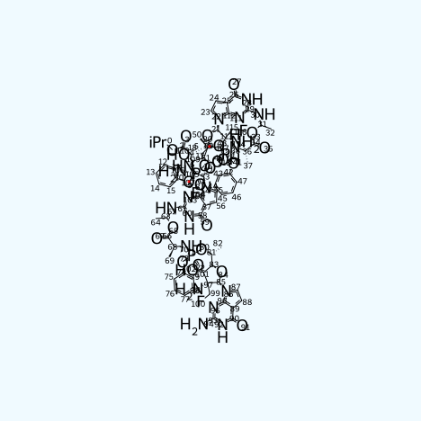 CC(C)OC(=O)[C@H](C)NP(=O)(Oc1ccccc1)O[C@H](C)[C@H]1O[C@@H](n2ccc3c(=O)[nH]c(NC(C)OC(=O)[C@H](C)N[P@@](=O)(Oc4ccccc4)O[C@H](C)[C@H]4O[C@@H](n5ccc6c(=O)[nH]c(NC(C)OC(=O)[C@H](C)N[P@](=O)(Oc7ccccc7)O[C@H](C)[C@H]7O[C@@H](n8ccc9c(=O)[nH]c(N)nc98)[C@@](N)(CF)C7O)nc65)[C@@](N)(CF)C4O)nc32)[C@@](N)(CF)C1O